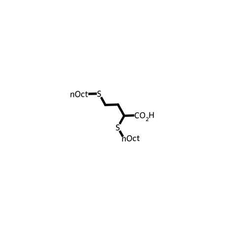 CCCCCCCCSCCC(SCCCCCCCC)C(=O)O